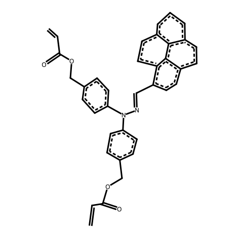 C=CC(=O)OCc1ccc(N(N=Cc2ccc3ccc4cccc5ccc2c3c45)c2ccc(COC(=O)C=C)cc2)cc1